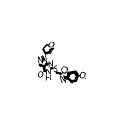 COc1ccc2nc(CSc3nc4c(cnn4C4CCOCC4)c(=O)[nH]3)oc2c1